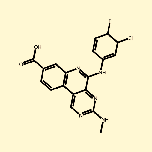 CNc1ncc2c(n1)c(NC1=CC(Cl)C(F)C=C1)nc1cc(C(=O)O)ccc12